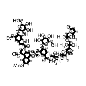 CCOc1cc2cc(C(=O)N3C[C@@H](CCl)c4c3cc(OS(=O)(=O)Oc3cc(C(=O)N(C)CC(C)(C)COC(C)(C)Cn5cc(C(C)(C)COC(C)(C)CN6C(=O)C=CC6=O)nn5)ccc3O[C@@H]3O[C@H](CO)[C@H](O)[C@H](O)[C@H]3O)c3ccc(OC)cc43)[nH]c2cc1O[C@@H]1O[C@H](CO)[C@H](O)[C@H](O)[C@H]1O